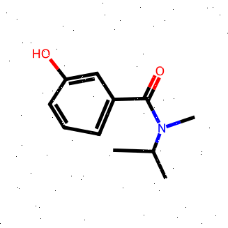 CC(C)N(C)C(=O)c1cccc(O)c1